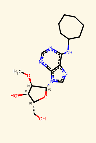 CO[C@@H]1[C@H](O)[C@@H](CO)O[C@H]1n1cnc2c(NC3CCCCCC3)ncnc21